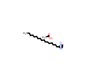 CC(=O)O.CCCCCCCCCCCCCCCCCc1ncc[nH]1